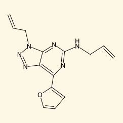 C=CCNc1nc(-c2ccco2)c2nnn(CC=C)c2n1